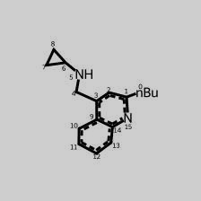 CCCCc1cc(CNC2CC2)c2ccccc2n1